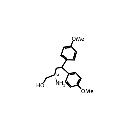 COc1ccc(C(C[C@H](N)CO)c2ccc(OC)cc2)cc1